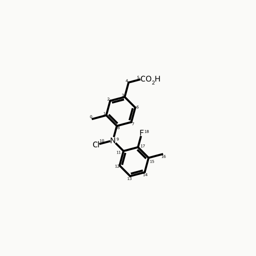 Cc1cc(CC(=O)O)ccc1N(Cl)c1cccc(C)c1F